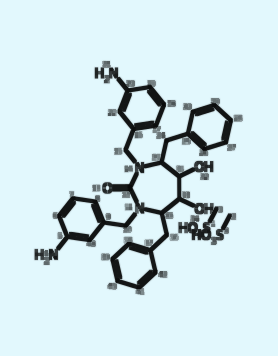 CS(=O)(=O)O.CS(=O)(=O)O.Nc1cccc(CN2C(=O)N(Cc3cccc(N)c3)C(Cc3ccccc3)C(O)C(O)C2Cc2ccccc2)c1